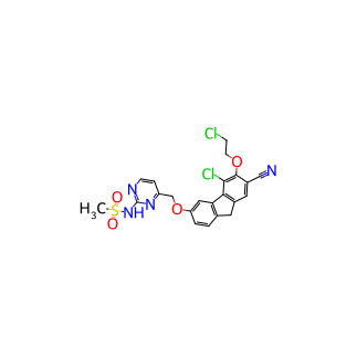 CS(=O)(=O)Nc1nccc(COc2ccc3c(c2)-c2c(cc(C#N)c(OCCCl)c2Cl)C3)n1